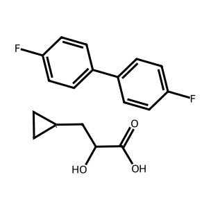 Fc1ccc(-c2ccc(F)cc2)cc1.O=C(O)C(O)C[C]1CC1